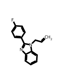 C=CCn1c(-c2ccc(F)cc2)nc2ccccc21